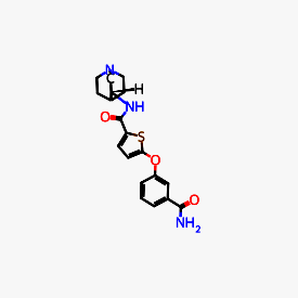 NC(=O)c1cccc(Oc2ccc(C(=O)N[C@H]3CN4CCC3CC4)s2)c1